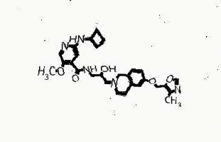 COc1cnc(NC2CCC2)cc1C(=O)NCC(O)CN1CCc2cc(OCc3ocnc3C)ccc2C1